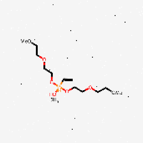 B.C=C[PH](O)(OCCOCCOC)OCCOCCOC